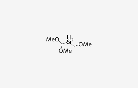 COC[SiH2]C(OC)OC